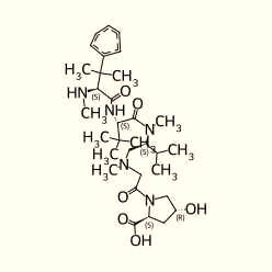 CN[C@H](C(=O)N[C@H](C(=O)N(C)[C@H](CN(C)CC(=O)N1C[C@H](O)C[C@H]1C(=O)O)C(C)C)C(C)(C)C)C(C)(C)c1ccccc1